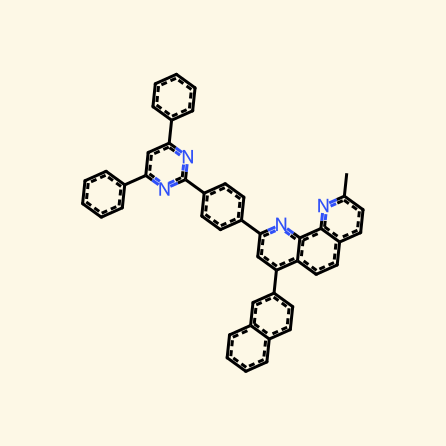 Cc1ccc2ccc3c(-c4ccc5ccccc5c4)cc(-c4ccc(-c5nc(-c6ccccc6)cc(-c6ccccc6)n5)cc4)nc3c2n1